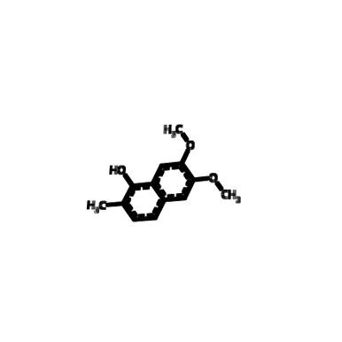 COc1cc2ccc(C)c(O)c2cc1OC